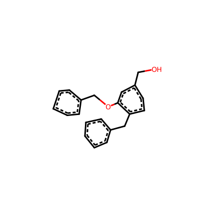 OCc1ccc(Cc2ccccc2)c(OCc2ccccc2)c1